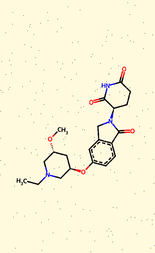 CCN1C[C@H](OC)C[C@@H](Oc2ccc3c(c2)CN([C@@H]2CCC(=O)NC2=O)C3=O)C1